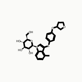 Cc1cccc2c1c(Sc1ccc(OC3CCOC3)cc1)cn2[C@@H]1O[C@H](CO)[C@@H](O)[C@H](O)[C@H]1O